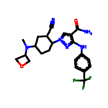 CN(C1COC1)C1CCC(n2cc(C(N)=O)c(Nc3ccc(C(F)(F)F)cc3)n2)C(C#N)C1